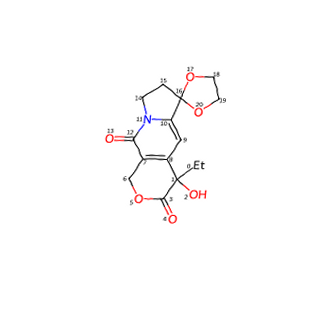 CCC1(O)C(=O)OCc2c1cc1n(c2=O)CCC12OCCO2